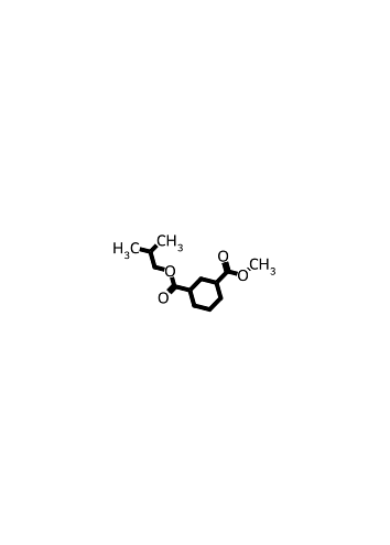 COC(=O)C1CCCC(C(=O)OCC(C)C)C1